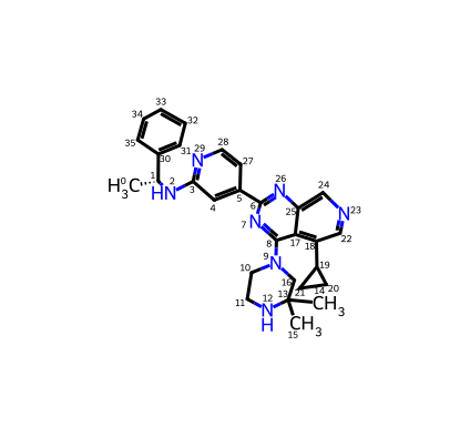 C[C@@H](Nc1cc(-c2nc(N3CCNC(C)(C)C3)c3c(C4CC4)cncc3n2)ccn1)c1ccccc1